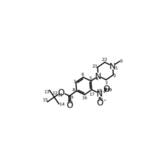 CN1CCN(c2ccc(C(=O)OC(C)(C)C)cc2[N+](=O)[O-])CC1